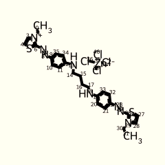 CC[n+]1ccsc1/N=N/c1ccc(NCCCCNc2ccc(/N=N/c3scc[n+]3CC)cc2)cc1.[Cl][Zn-2]([Cl])([Cl])[Cl]